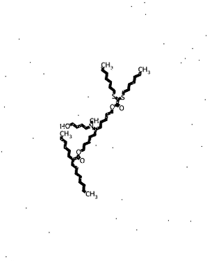 CCCCCCCCC(CCCCCC)C(=O)OCCCCCC(CCCCCOC(=O)C(SCCCCCCC)SCCCCCCC)N(C)CCCCO